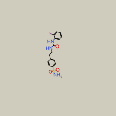 NS(=O)(=O)c1ccc(CCNC(=O)Nc2ccccc2I)cc1